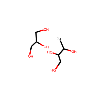 OCC(O)CO.[2H]C(O)C(O)CO